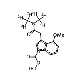 [2H]C([2H])([2H])N(C(=O)Cc1cn(C(=O)OC(C)(C)C)c2cccc(OC)c12)C([2H])([2H])[2H]